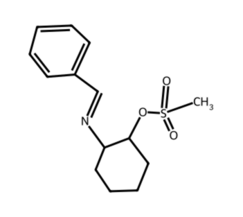 CS(=O)(=O)OC1CCCCC1N=Cc1ccccc1